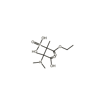 CCOC(=O)C(C)(C(C)(C(=O)O)N(C)C)P(=O)(O)O